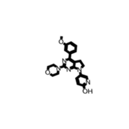 COc1cccc(-c2nc(N3CCOCC3)nc3c2CCN3c2ccc(O)nc2)c1